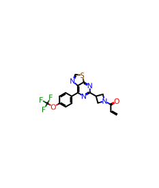 C=CC(=O)N1CC(c2nc(-c3ccc(OC(F)(F)F)cc3)c3ncsc3n2)C1